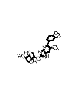 O[C@@H]1CO[C@H]2[C@@H]1OC[C@H]2Oc1nc2nc(-c3ccc4c(c3)OCO4)c(Cl)cc2[nH]1